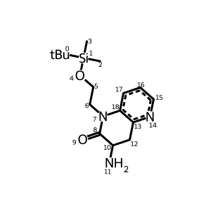 CC(C)(C)[Si](C)(C)OCCN1C(=O)C(N)Cc2ncccc21